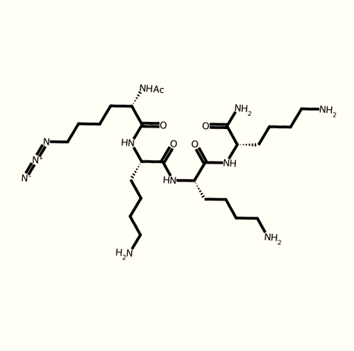 CC(=O)N[C@@H](CCCCN=[N+]=[N-])C(=O)N[C@@H](CCCCN)C(=O)N[C@@H](CCCCN)C(=O)N[C@@H](CCCCN)C(N)=O